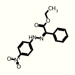 CCOC(=O)/C(=N\Nc1ccc([N+](=O)[O-])cc1)c1ccccc1